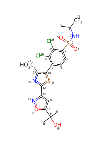 CC(NS(=O)(=O)c1ccc(-c2sc(-c3cc(C(C)(C)O)on3)nc2C(=O)O)c(Cl)c1Cl)C(F)(F)F